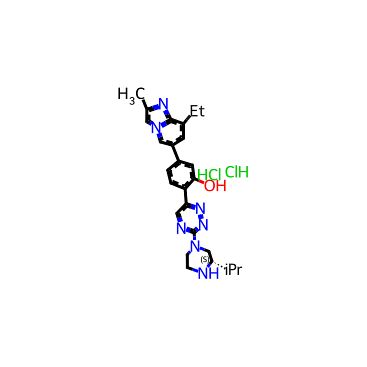 CCc1cc(-c2ccc(-c3cnc(N4CCN[C@@H](C(C)C)C4)nn3)c(O)c2)cn2cc(C)nc12.Cl.Cl